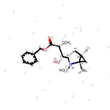 C[C@@H](C(=O)OCc1ccccc1)[C@@H](O)[C@@H]1C[C@H]2C[C@]2(C(C)(C)C)N1C(=O)O